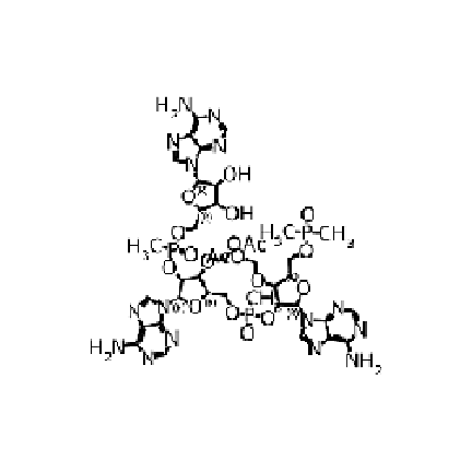 CC(=O)OCOC1C(OP(C)(=O)OC[C@H]2O[C@@H](n3cnc4c(N)ncnc43)C(OP(C)(=O)OC[C@H]3O[C@@H](n4cnc5c(N)ncnc54)C(O)C3O)C2OCOC(C)=O)[C@H](n2cnc3c(N)ncnc32)O[C@@H]1COP(C)(C)=O